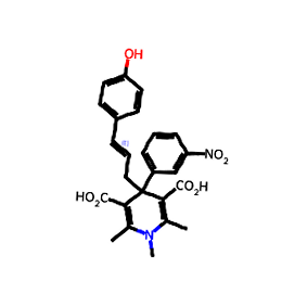 CC1=C(C(=O)O)C(C/C=C/c2ccc(O)cc2)(c2cccc([N+](=O)[O-])c2)C(C(=O)O)=C(C)N1C